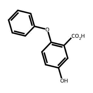 O=C(O)c1cc(O)ccc1Oc1ccccc1